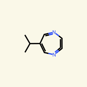 CC(C)C1=CN=C=CN=C1